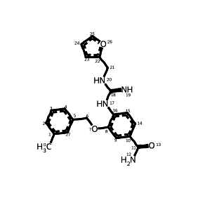 Cc1cccc(COc2cc(C(N)=O)ccc2NC(=N)NCc2ccco2)c1